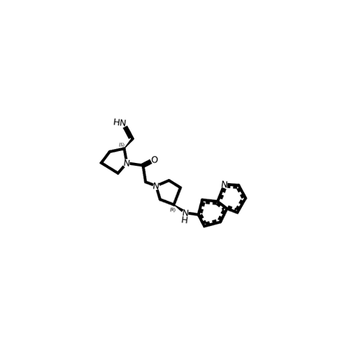 N=C[C@@H]1CCCN1C(=O)CN1CC[C@@H](Nc2ccc3cccnc3c2)C1